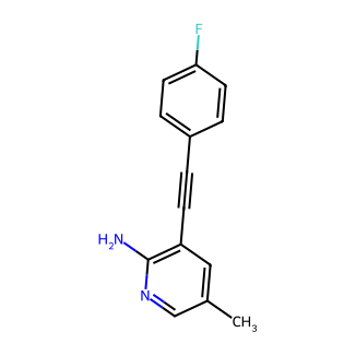 Cc1cnc(N)c(C#Cc2ccc(F)cc2)c1